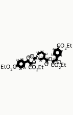 CCOC(=O)c1ccc(C(=O)C(OC(=O)C2CCCN(C(=O)OC(C(=O)OCC)C(=O)c3ccc(C(=O)OCC)cc3)C2)C(=O)OCC)cc1